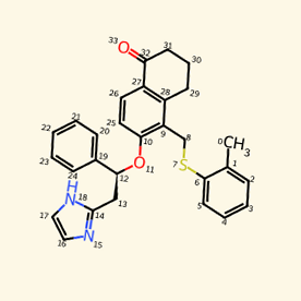 Cc1ccccc1SCc1c(O[C@@H](Cc2ncc[nH]2)c2ccccc2)ccc2c1CCCC2=O